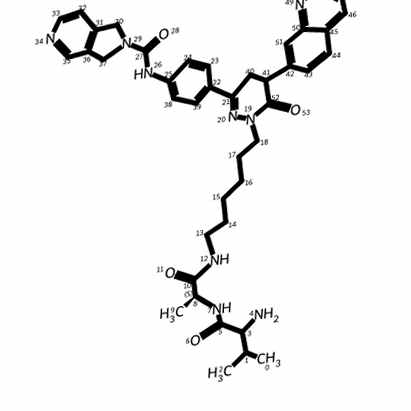 CC(C)C(N)C(=O)N[C@@H](C)C(=O)NCCCCCCN1N=C(c2ccc(NC(=O)N3Cc4ccncc4C3)cc2)CC(c2ccc3cccnc3c2)C1=O